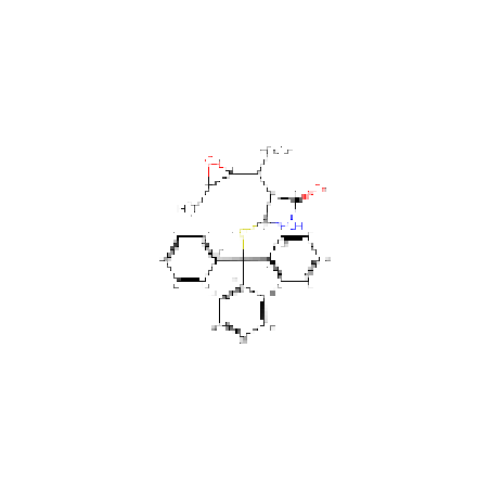 CC(=O)OC(C1OC1C)C1C(=O)NC1SC(c1ccccc1)(c1ccccc1)c1ccccc1